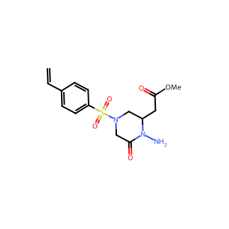 C=Cc1ccc(S(=O)(=O)N2CC(=O)N(N)C(CC(=O)OC)C2)cc1